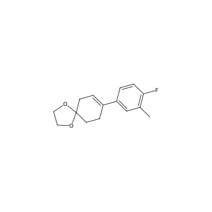 Cc1cc(C2=CCC3(CC2)OCCO3)ccc1F